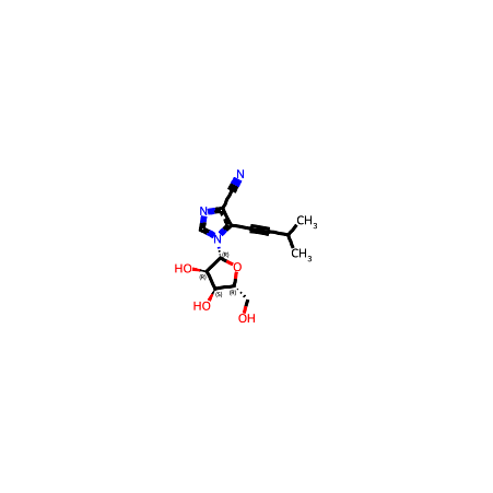 CC(C)C#Cc1c(C#N)ncn1[C@@H]1O[C@H](CO)[C@@H](O)[C@H]1O